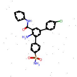 Nc1c(C(=O)Nc2ccccc2)cc(-c2ccc(Cl)cc2)cc1-c1ccc(S(N)(=O)=O)cc1